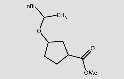 CCCCC(C)OC1CCC(C(=O)OC)C1